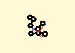 c1cc(-c2cccc3ccccc23)cc(N(c2ccc3oc4ccccc4c3c2)c2ccccc2-c2ccc3c(c2)oc2ccccc23)c1